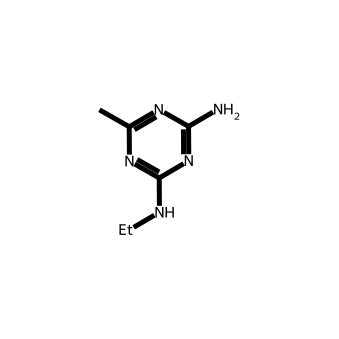 CCNc1nc(C)nc(N)n1